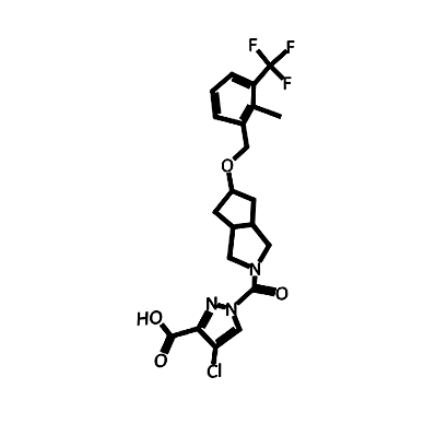 Cc1c(COC2CC3CN(C(=O)n4cc(Cl)c(C(=O)O)n4)CC3C2)cccc1C(F)(F)F